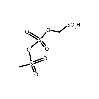 CS(=O)(=O)OS(=O)(=O)OCS(=O)(=O)O